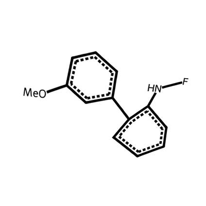 COc1cccc(-c2ccccc2NF)c1